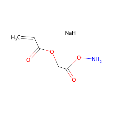 C=CC(=O)OCC(=O)ON.[NaH]